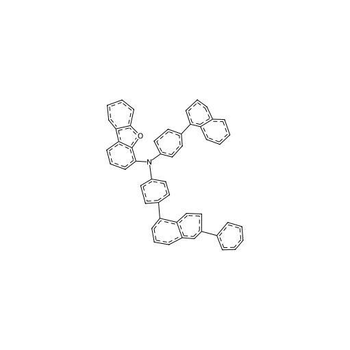 c1ccc(-c2ccc3c(-c4ccc(N(c5ccc(-c6cccc7ccccc67)cc5)c5cccc6c5oc5ccccc56)cc4)cccc3c2)cc1